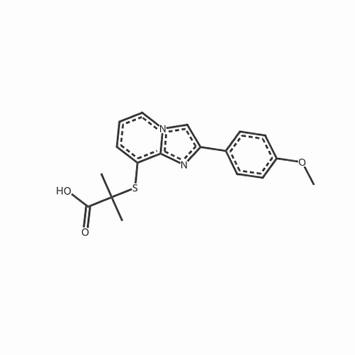 COc1ccc(-c2cn3cccc(SC(C)(C)C(=O)O)c3n2)cc1